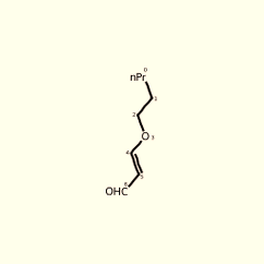 CCCCCOC=CC=O